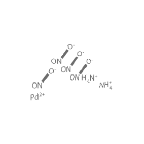 O=N[O-].O=N[O-].O=N[O-].O=N[O-].[NH4+].[NH4+].[Pd+2]